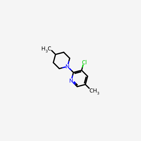 Cc1cnc(N2CCC(C)CC2)c(Cl)c1